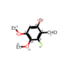 CCOc1cc(Br)c(C=O)c(F)c1OCC